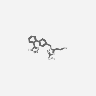 COc1nc(CCC(C)C)n(Cc2ccc(-c3ccccc3-c3nnn[nH]3)cc2)n1